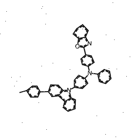 Cc1ccc(-c2ccc3c(c2)c2ccccc2n3-c2ccc(N(c3ccccc3)c3ccc(-c4nc5ccccc5o4)cc3)cc2)cc1